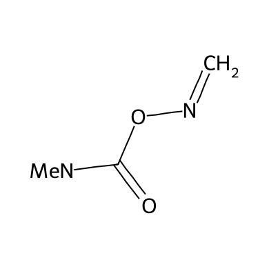 C=NOC(=O)NC